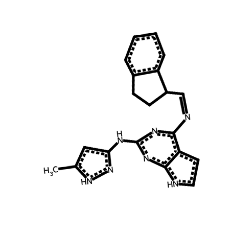 Cc1cc(Nc2nc(/N=C\C3CCc4ccccc43)c3cc[nH]c3n2)n[nH]1